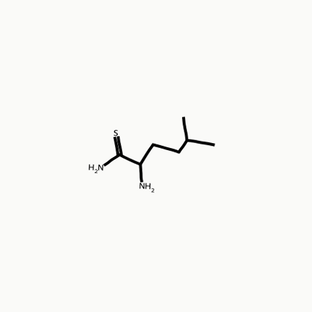 CC(C)CCC(N)C(N)=S